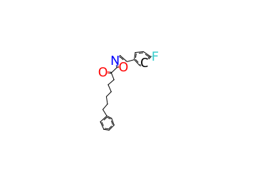 O=C(CCCCCCc1ccccc1)c1ncc(-c2ccc(F)cc2)o1